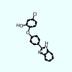 Oc1cc(Cl)ccc1Oc1ccc(-c2nc3ccccc3[nH]2)cc1